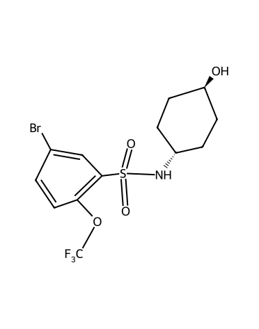 O=S(=O)(N[C@H]1CC[C@H](O)CC1)c1cc(Br)ccc1OC(F)(F)F